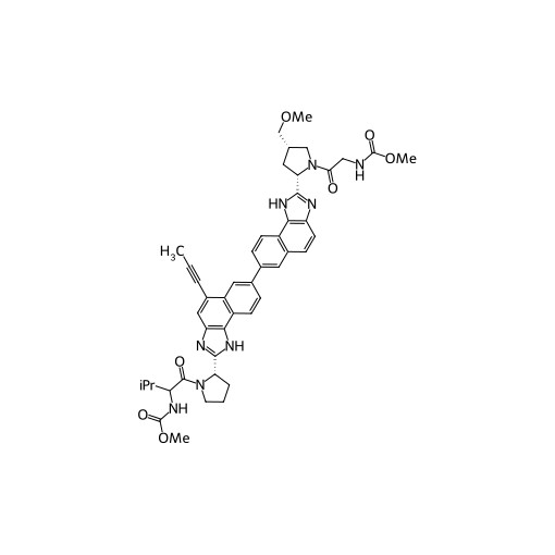 CC#Cc1cc2nc([C@@H]3CCCN3C(=O)C(NC(=O)OC)C(C)C)[nH]c2c2ccc(-c3ccc4c(ccc5nc([C@@H]6C[C@H](COC)CN6C(=O)CNC(=O)OC)[nH]c54)c3)cc12